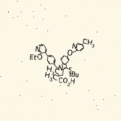 CCOc1ncccc1-c1ccc(Cn2c(CC(C)(C)C(=O)O)c(SC(C)(C)C)c3cc(OCc4ccc(C)cn4)ccc32)cc1